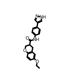 CCOc1ccc2c(c1)CC(C(=O)Nc1ccc(-c3cn[nH]c3)cc1)CO2